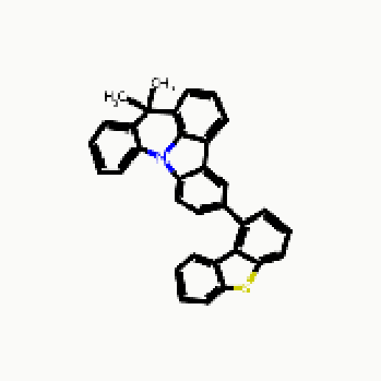 CC1(C)c2ccccc2-n2c3ccc(-c4cccc5sc6ccccc6c45)cc3c3cccc1c32